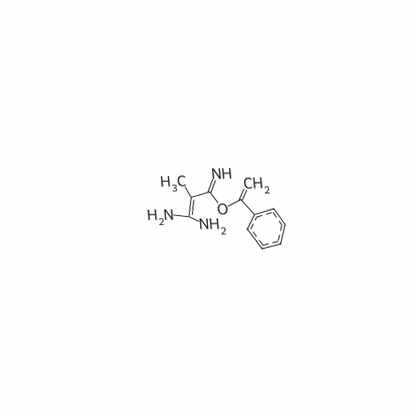 C=C(OC(=N)C(C)=C(N)N)c1ccccc1